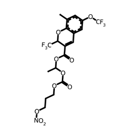 Cc1cc(OC(F)(F)F)cc2c1OC(C(F)(F)F)C(C(=O)OC(C)OC(=O)OCCCO[N+](=O)[O-])=C2